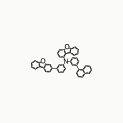 c1cc(-c2ccc3c(c2)oc2ccccc23)cc(N(c2cccc(-c3cccc4ccccc34)c2)c2cccc3oc4ccccc4c23)c1